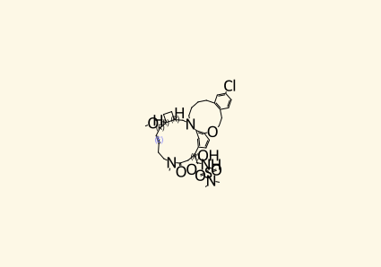 CO[C@H]1/C=C/CCN(C)C(=O)C[C@](O)(C(=O)NS(=O)(=O)N(C)C)c2ccc3c(c2)N(CCCCc2cc(Cl)ccc2CCO3)C[C@@H]2CC[C@H]21